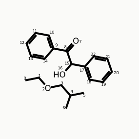 CCOCC(C)C.O=C(c1ccccc1)C(O)c1ccccc1